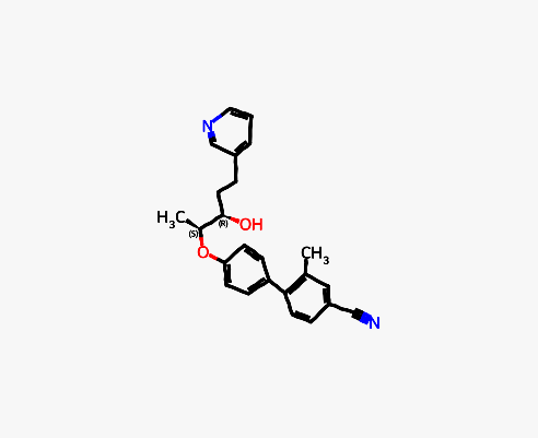 Cc1cc(C#N)ccc1-c1ccc(O[C@@H](C)[C@H](O)CCc2cccnc2)cc1